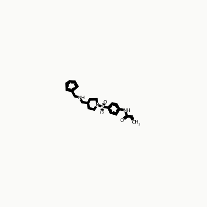 C=CC(=O)Nc1ccc(S(=O)(=O)N2CCC(CNCc3ccccc3)CC2)cc1